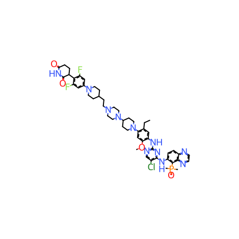 CCc1cc(Nc2ncc(Cl)c(Nc3ccc4nccnc4c3P(C)(C)=O)n2)c(OC)cc1N1CCC(N2CCN(CCC3CCN(c4cc(F)c(C5CCC(=O)NC5=O)c(F)c4)CC3)CC2)CC1